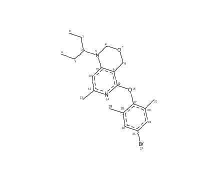 CCC(CC)N1COCc2c1cc(C)nc2Oc1c(C)cc(Br)cc1C